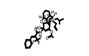 C=CC[N+]1(CC(C)C)CC[C@@]23C4=C5C[C@@H]1[C@@H]2CCC[C@@H]3OC4C(O)(NC(=O)C(=Cc1ccccc1)C(F)(F)F)C=C5OC(C)=O